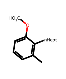 CCCCCCCc1c(C)cccc1OC(=O)O